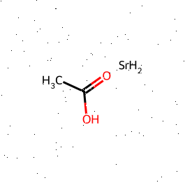 CC(=O)O.[SrH2]